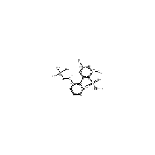 CNS(=O)(=O)c1c(-c2ccccc2OCC(F)(F)F)cc(F)c[n+]1[O-]